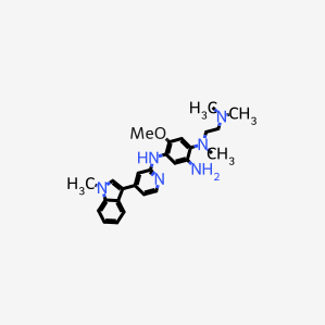 COc1cc(N(C)CCN(C)C)c(N)cc1Nc1cc(-c2cn(C)c3ccccc23)ccn1